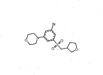 O=S(=O)(CC1CCOC1)c1cc(Br)cc(N2CCOCC2)c1